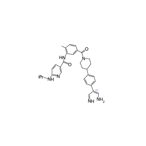 Cc1ccc(C(=O)N2CCC(c3ccc(/C(C=N)=C/N)cc3)CC2)cc1NC(=O)c1ccc(NC(C)C)nc1